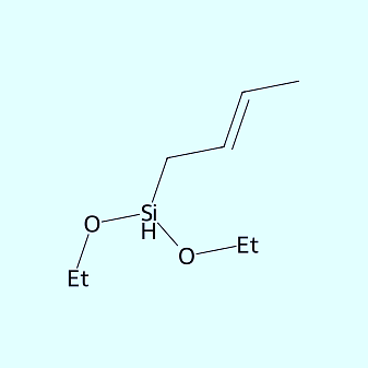 CC=CC[SiH](OCC)OCC